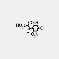 O=C(O)C(C(=O)O)C(=O)c1ccc(Cl)cc1[N+](=O)[O-]